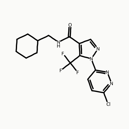 O=C(NCC1CCCCC1)c1cnn(-c2ccc(Cl)nn2)c1C(F)(F)F